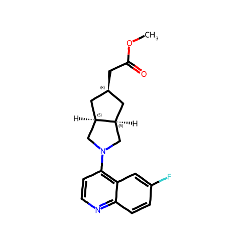 COC(=O)C[C@@H]1C[C@@H]2CN(c3ccnc4ccc(F)cc34)C[C@@H]2C1